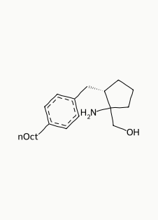 CCCCCCCCc1ccc(C[C@@H]2CCCC2(N)CO)cc1